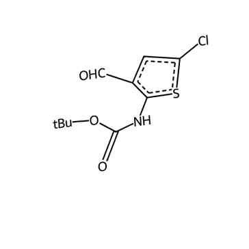 CC(C)(C)OC(=O)Nc1sc(Cl)cc1C=O